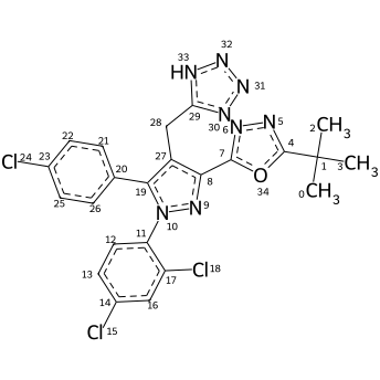 CC(C)(C)c1nnc(-c2nn(-c3ccc(Cl)cc3Cl)c(-c3ccc(Cl)cc3)c2Cc2nnn[nH]2)o1